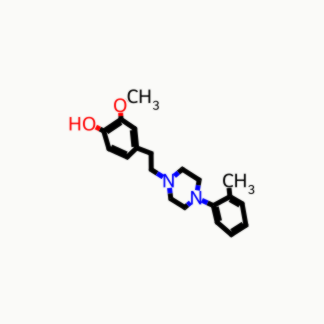 COc1cc(CCN2CCN(c3ccccc3C)CC2)ccc1O